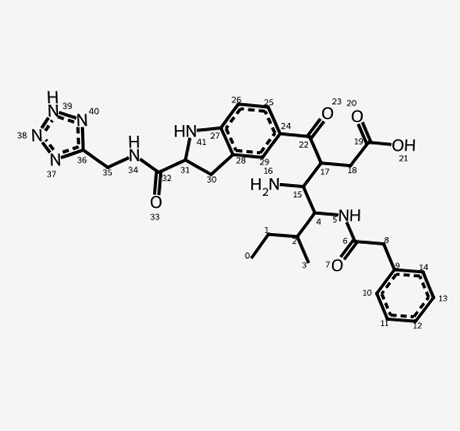 CCC(C)C(NC(=O)Cc1ccccc1)C(N)C(CC(=O)O)C(=O)c1ccc2c(c1)CC(C(=O)NCc1nn[nH]n1)N2